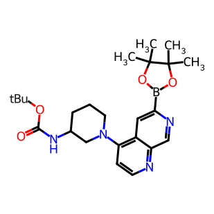 CC(C)(C)OC(=O)NC1CCCN(c2ccnc3cnc(B4OC(C)(C)C(C)(C)O4)cc23)C1